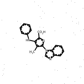 Cc1c(-n2cnc3ccccc32)sc(C(=O)O)c1Nc1ccccc1